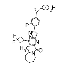 C[C@@H]1CCCCCN1C(=O)c1cc(C2CC(F)(F)C2)n2nc(-c3ccc(C4C[C@H]4C(=O)O)cc3F)cc2n1